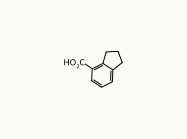 O=C(O)c1cccc2c1CCC2